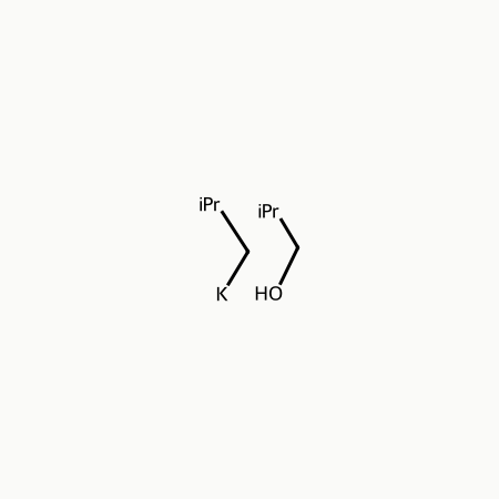 CC(C)CO.CC(C)[CH2][K]